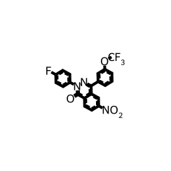 O=c1c2ccc([N+](=O)[O-])cc2c(-c2cccc(OC(F)(F)F)c2)nn1-c1ccc(F)cc1